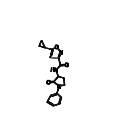 O=C(NC1CCN(c2ccccc2)C1=O)c1cc(C2CC2)on1